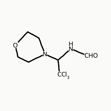 O=CNC(N1CCOCC1)C(Cl)(Cl)Cl